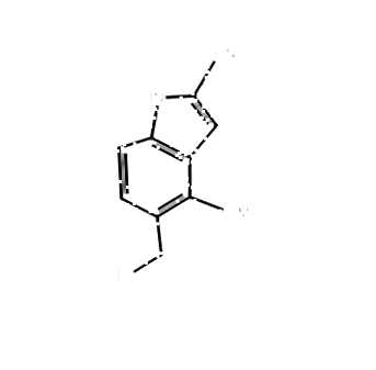 COc1c(CBr)ccc2[nH]c(C#N)cc12